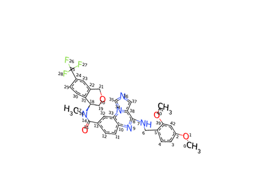 COc1ccc(CNc2nc3ccc(C(=O)N(C)[C@@H]4COCc5cc(C(F)(F)F)ccc54)cc3n3cncc23)c(OC)c1